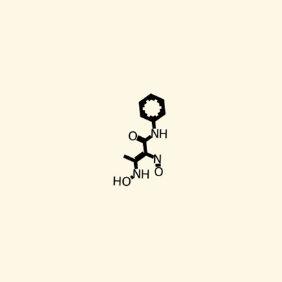 C/C(NO)=C(/N=O)C(=O)Nc1ccccc1